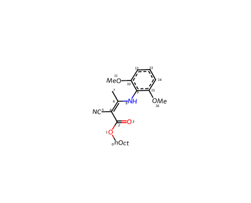 CCCCCCCCOC(=O)/C(C#N)=C(/C)Nc1c(OC)cccc1OC